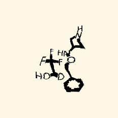 O=C(O)C(F)(F)F.c1ccc(CONC2CNC2)cc1